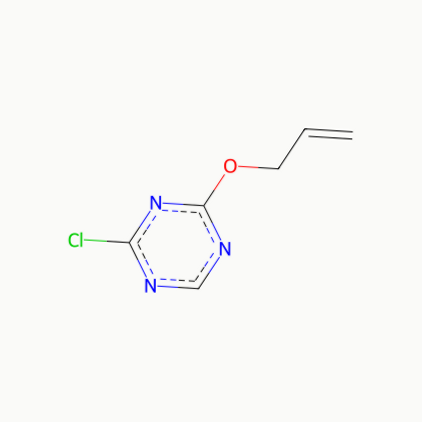 C=CCOc1ncnc(Cl)n1